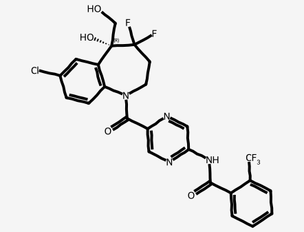 O=C(Nc1cnc(C(=O)N2CCC(F)(F)[C@](O)(CO)c3cc(Cl)ccc32)cn1)c1ccccc1C(F)(F)F